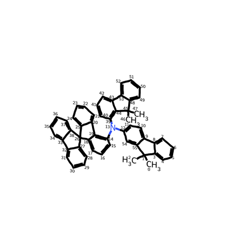 CC1(C)c2ccccc2-c2ccc(N(c3cccc4c3-c3ccccc3C43c4ccccc4-c4ccccc43)c3cccc4c3C(C)(C)c3ccccc3-4)cc21